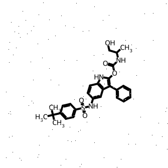 CC(CO)NC(=O)Oc1[nH]c2ccc(NS(=O)(=O)c3ccc(C(C)(C)C)cc3)cc2c1-c1ccccc1